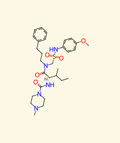 CCC(C)[C@H](NC(=O)N1CCN(C)CC1)C(=O)N(CCCc1ccccc1)CS(=O)(=O)Nc1ccc(OC)cc1